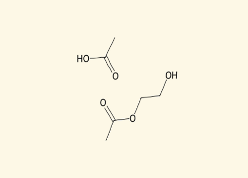 CC(=O)O.CC(=O)OCCO